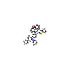 C1=CCCC(C2=Cc3c(c4c(n3C3=CCCCC3)C=CC(N(c3cccc5oc6c(c35)C=CCC6)C3C=CC5C6=C(C=CCC6)SC5C3)C4)CC2)=C1